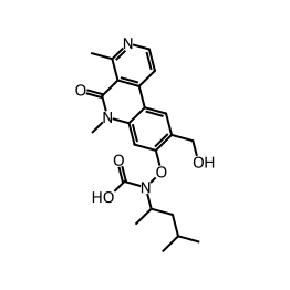 Cc1nccc2c1c(=O)n(C)c1cc(ON(C(=O)O)C(C)CC(C)C)c(CO)cc21